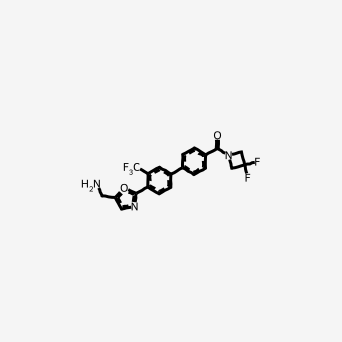 NCc1cnc(-c2ccc(-c3ccc(C(=O)N4CC(F)(F)C4)cc3)cc2C(F)(F)F)o1